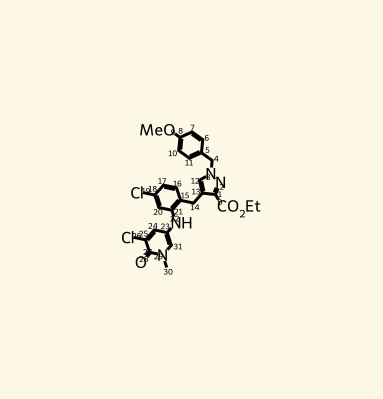 CCOC(=O)c1nn(Cc2ccc(OC)cc2)cc1Cc1ccc(Cl)cc1Nc1cc(Cl)c(=O)n(C)c1